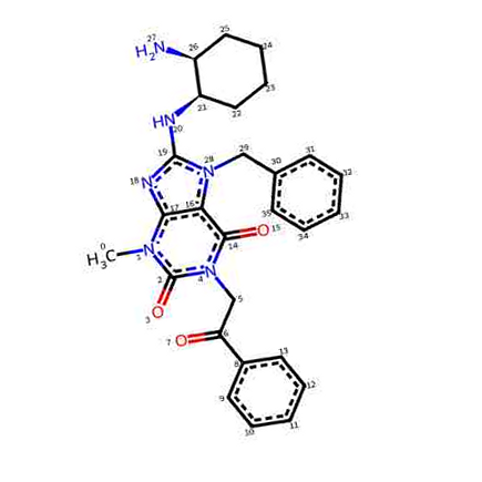 Cn1c(=O)n(CC(=O)c2ccccc2)c(=O)c2c1nc(N[C@@H]1CCCC[C@@H]1N)n2Cc1ccccc1